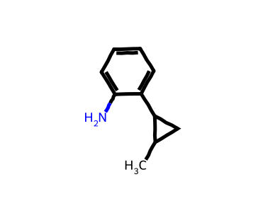 CC1CC1c1ccccc1N